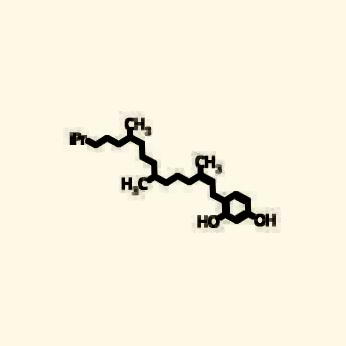 CC(=CCc1ccc(O)cc1O)CCCC(C)CCCC(C)CCCC(C)C